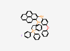 [I-].c1ccc(Oc2ccc(Pc3cc4ccc5cccc6ccc(c3PCCC[P+](c3ccccc3)(c3ccccc3)c3ccccc3)c4c56)cc2)cc1